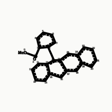 COC(=O)c1ccccc1-c1c2ccccc2cc2cc3ccccc3cc12